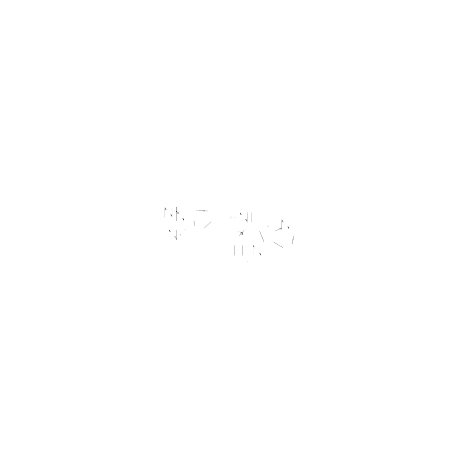 Cc1cc(C)c2c(N)c(C(=O)N[C@H]3CCc4cc(N5CC6CCC(C5)N6)c(C#N)c(F)c4C3)sc2n1